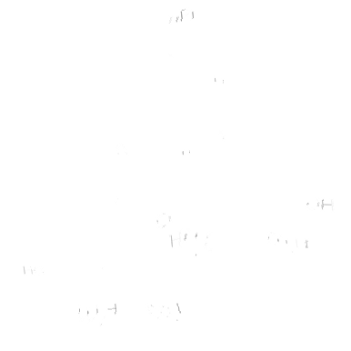 CCCC(CCOC(=O)CC(O)(CC(=O)O)C(=O)O)OC(=O)CC(O)(CC(=O)O)C(=O)O